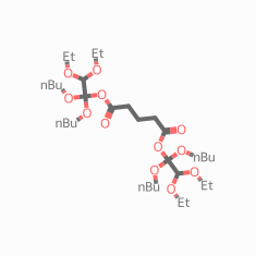 CCCCOC(OCCCC)(OC(=O)CCCC(=O)OC(OCCCC)(OCCCC)C(OCC)OCC)C(OCC)OCC